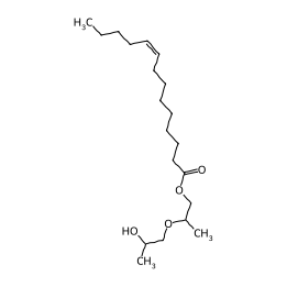 CCCC/C=C\CCCCCCCC(=O)OCC(C)OCC(C)O